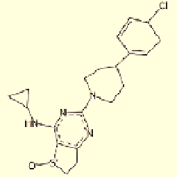 [O-][S+]1CCc2nc(N3CCC(C4=CCC(Cl)C=C4)CC3)nc(NC3CC3)c21